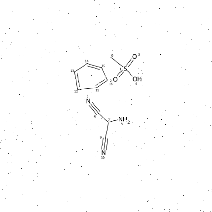 CS(=O)(=O)O.N#CC(N)C#N.c1ccccc1